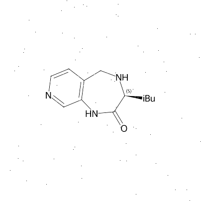 CCC(C)[C@@H]1NCc2ccncc2NC1=O